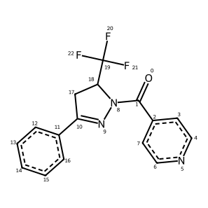 O=C(c1ccncc1)N1N=C(c2ccccc2)CC1C(F)(F)F